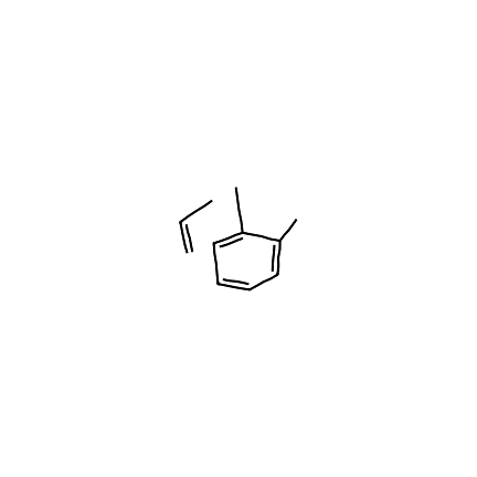 C=CC.Cc1ccccc1C